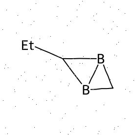 CCC1B2CB21